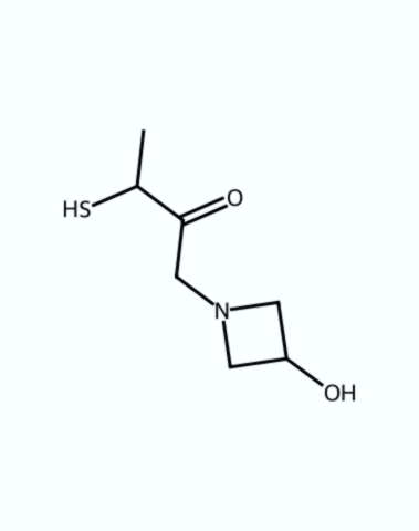 CC(S)C(=O)CN1CC(O)C1